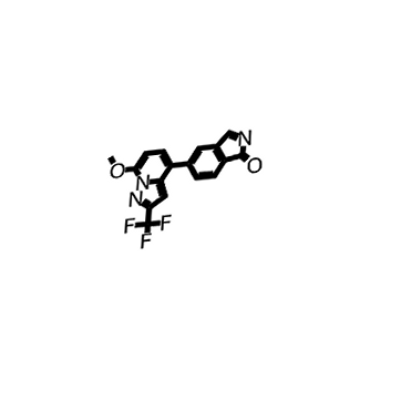 COc1ccc(-c2ccc3c(c2)C=NC3=O)c2cc(C(F)(F)F)nn12